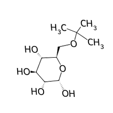 CC(C)(C)OC[C@H]1O[C@H](O)[C@H](O)[C@@H](O)[C@@H]1O